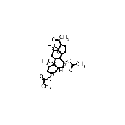 CC(=O)O[C@@H]1CC[C@]2(C)C3CC[C@]4(C)C(C(C)=O)CCC4C3[C@H](OC(C)=O)C[C@H]2C1